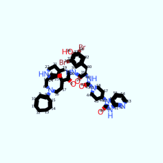 O=C(C1CCCCN(C2=C/C=C\CC/C=C\2)CC1)[C@H](CC1CCNCC1)NC(=O)[C@@H](Cc1cc(Br)c(O)c(Br)c1)NC(=O)N1CCC(n2c(=O)[nH]c3ncccc32)CC1